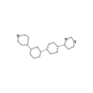 c1cc(-c2ccncc2)cc(-c2ccc(-c3ccncn3)cc2)c1